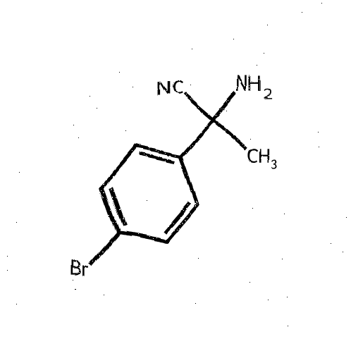 CC(N)(C#N)c1ccc(Br)cc1